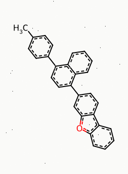 Cc1ccc(-c2ccc(-c3ccc4c(c3)oc3ccccc34)c3ccccc23)cc1